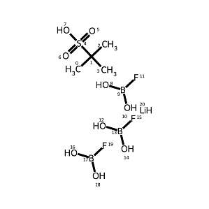 CC(C)(C)S(=O)(=O)O.OB(O)F.OB(O)F.OB(O)F.[LiH]